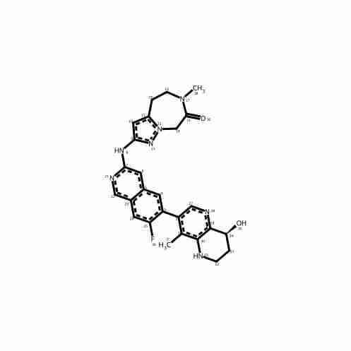 Cc1c(-c2cc3cc(Nc4cc5n(n4)CC(=O)N(C)CC5)ncc3cc2F)cnc2c1NCC[C@@H]2O